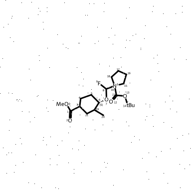 COC(=O)C1CC[C@H](OC(F)[N+]2(C(=O)OC(C)(C)C)CCCC2)C(C)C1